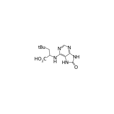 CC(C)(C)CC(Nc1ncnc2[nH]c(=O)[nH]c12)C(=O)O